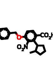 CC1CCCC1c1c(C(=O)O)ccc(OCc2ccccc2)c1[N+](=O)[O-]